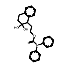 O=C(OCCC1c2ccccc2CCC1(O)O)N(c1ccccc1)c1ccccc1